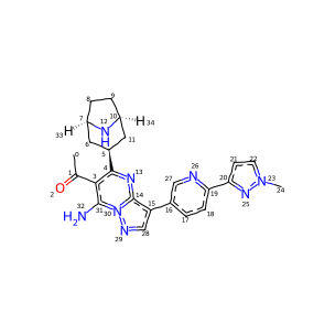 CC(=O)c1c([C@H]2C[C@H]3CC[C@@H](C2)N3)nc2c(-c3ccc(-c4ccn(C)n4)nc3)cnn2c1N